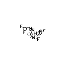 CC(C(=O)Nc1cn(Cc2cc(F)cc(F)c2)cn1)N1CCC(F)(F)C(c2cc[n+]([O-])cc2)C1